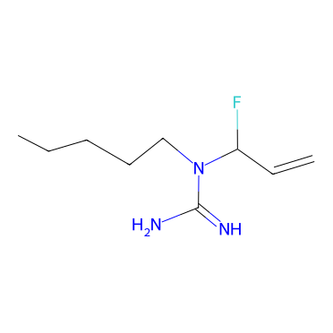 C=CC(F)N(CCCCC)C(=N)N